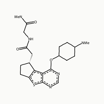 CNC(=O)CNC(=O)C[C@H]1CCc2sc3ncnc(OC4CCC(NC)CC4)c3c21